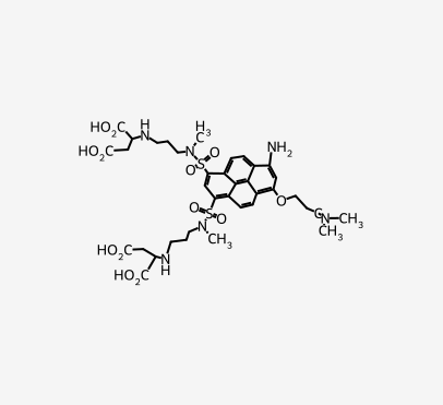 CN(C)CCCOc1cc(N)c2ccc3c(S(=O)(=O)N(C)CCCNC(CC(=O)O)C(=O)O)cc(S(=O)(=O)N(C)CCCNC(CC(=O)O)C(=O)O)c4ccc1c2c34